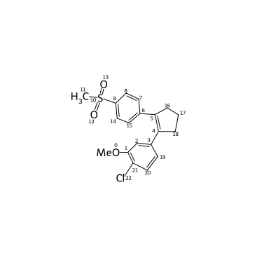 COc1cc(C2=C(c3ccc(S(C)(=O)=O)cc3)CCC2)ccc1Cl